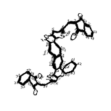 O=C1C(=Cc2cc3c(s2)C2=CC4C=C5C(=CC4C=C2CO3)c2sc(C=C3C(=O)c4ccccc4C3=O)cc2OC52CCCCC2)C(=O)c2ccccc21